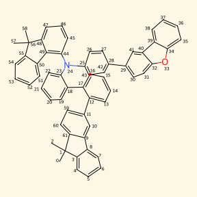 CC1(C)c2ccccc2-c2cc(-c3ccccc3-c3ccccc3N(c3ccc(-c4ccc5oc6ccccc6c5c4)cc3)c3cccc4c3-c3ccccc3C4(C)C)ccc21